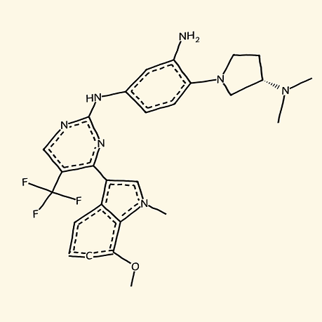 COc1cccc2c(-c3nc(Nc4ccc(N5CC[C@H](N(C)C)C5)c(N)c4)ncc3C(F)(F)F)cn(C)c12